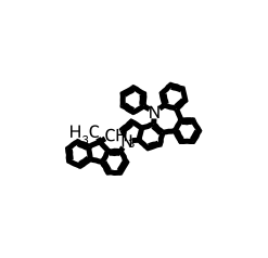 CC1(C)c2ccccc2-c2cccc(N3C=CC4C5=C(C=CC43)c3ccccc3-c3ccccc3N5c3ccccc3)c21